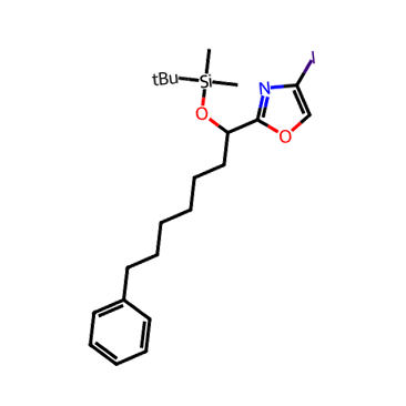 CC(C)(C)[Si](C)(C)OC(CCCCCCc1ccccc1)c1nc(I)co1